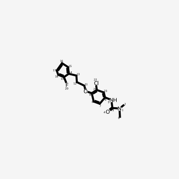 CN(C)C(=O)Nc1ccc(OCCCc2ccccc2F)c(Cl)c1